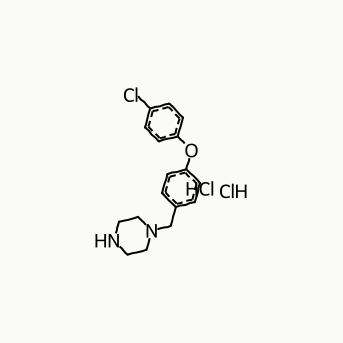 Cl.Cl.Clc1ccc(Oc2ccc(CN3CCNCC3)cc2)cc1